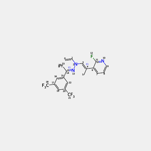 C=CN(/C=C(\C)c1cccnc1F)/N=C(/c1cc(C(F)(F)F)cc(C(F)(F)F)c1)C(C)C